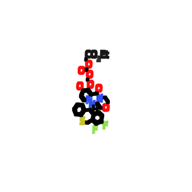 CCOC(=O)COC(=O)OCOc1c2n(ccc1=O)N([C@@H]1c3ccccc3SCc3c1ccc(F)c3F)[C@@H]1COCCN1C2=O